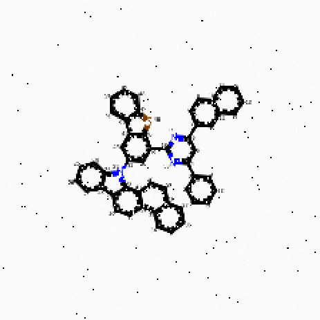 c1ccc(-c2cc(-c3ccc4ccccc4c3)nc(-c3cc(-n4c5ccccc5c5ccc6c7ccccc7ccc6c54)cc4c3sc3ccccc34)n2)cc1